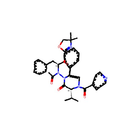 CC(=O)N([C@@H](Cc1ccccc1)C(=O)C1=NC(C)(C)CO1)N1C(=O)[C@@H](C(C)C)N(C(=O)c2ccncc2)C=C1c1ccccc1